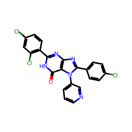 O=c1[nH]c(-c2ccc(Cl)cc2Cl)nc2nc(-c3ccc(Cl)cc3)n(-c3cccnc3)c12